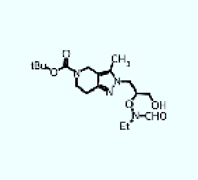 CCN(C=O)OC(CO)Cn1nc2c(c1C)CN(C(=O)OC(C)(C)C)CC2